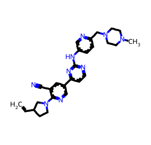 C=CC1CCN(c2ncc(-c3ccnc(Nc4ccc(CN5CCN(C)CC5)nc4)n3)cc2C#N)C1